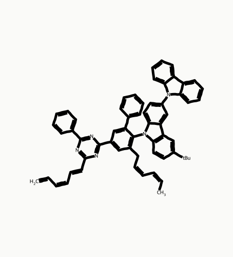 C=C/C=C\C=C\c1nc(-c2ccccc2)nc(-c2cc(C/C=C\C=C/C)c(-n3c4ccc(-n5c6ccccc6c6ccccc65)cc4c4cc(C(C)(C)C)ccc43)c(-c3ccccc3)c2)n1